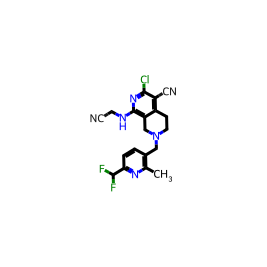 Cc1nc(C(F)F)ccc1CN1CCc2c(C#N)c(Cl)nc(NCC#N)c2C1